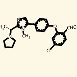 C[C@H](c1ncc(-c2ccc(Oc3cc(Cl)ccc3C=O)cc2)n1C)N1CCCC1